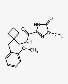 COc1ccccc1CC1(CNC(=O)c2nn(C)c(=O)[nH]2)CCC1